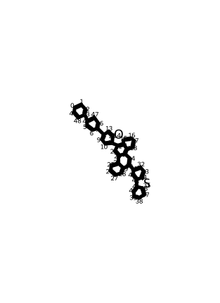 c1ccc(-c2ccc(-c3ccc4c(c3)Oc3cccc5c3c-4cc3c4ccccc4c(-c4ccc6sc7ccccc7c6c4)cc53)cc2)cc1